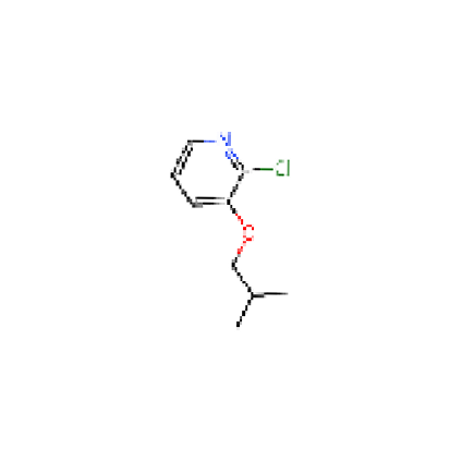 CC(C)COc1cccnc1Cl